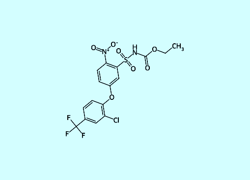 CCOC(=O)NS(=O)(=O)c1cc(Oc2ccc(C(F)(F)F)cc2Cl)ccc1[N+](=O)[O-]